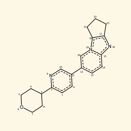 c1cc(C2CCOCC2)ncc1-c1ccc2nc3c(n2c1)CCC3